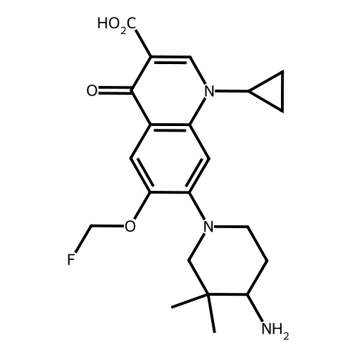 CC1(C)CN(c2cc3c(cc2OCF)c(=O)c(C(=O)O)cn3C2CC2)CCC1N